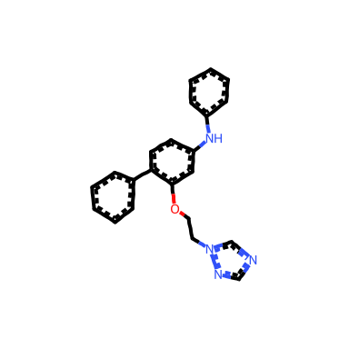 c1ccc(Nc2ccc(-c3ccccc3)c(OCCn3cncn3)c2)cc1